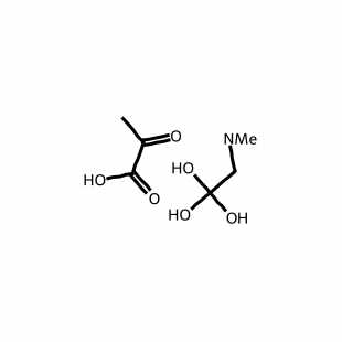 CC(=O)C(=O)O.CNCC(O)(O)O